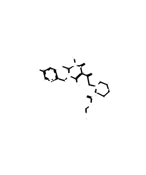 CCN1C(=O)C(C(=O)CN2CCCC[C@@H]2C(=O)NCC(F)(F)F)=C(N)N(Cc2ccc(F)cc2)C1O